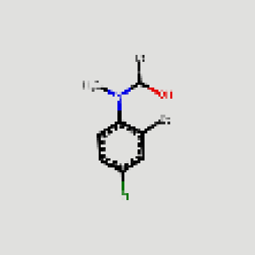 CCc1cc(Cl)ccc1N(C)C(O)CC